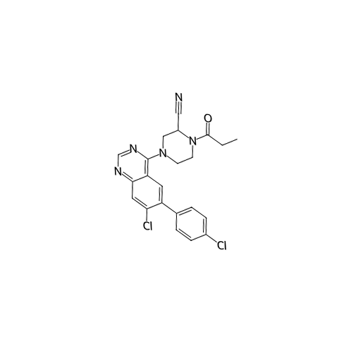 CCC(=O)N1CCN(c2ncnc3cc(Cl)c(-c4ccc(Cl)cc4)cc23)CC1C#N